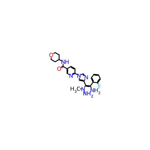 CN(N)/C(=C(\N)c1ccccc1F)c1cn(-c2ccc(C(=O)NC3CCOCC3)cn2)cn1